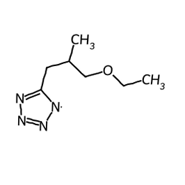 CCOCC(C)CC1=NN=N[N]1